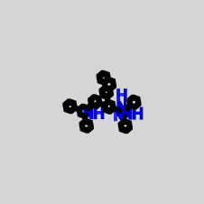 C1=CCC(C2CC(C3=CCCC(C4=CC=C(C5=NC(C6CC=CCC6)NC(C6CCCCC6)N5)CC4c4ccc5c(c4)CCc4ccccc4-5)=C3)NC(C3=CCCCC3)C2)C=C1